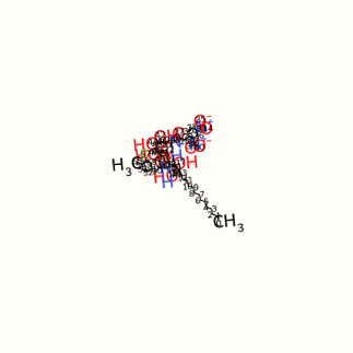 CCCCCCCCCCCCCC[C@@H](O)[C@@H](O)[C@H](CO[C@H]1OC(CNC(=O)Cc2ccc([N+](=O)[O-])cc2[N+](=O)[O-])[C@H](O)C(O)[C@@H]1O)NC(=O)Cc1ccc(C)c(F)c1